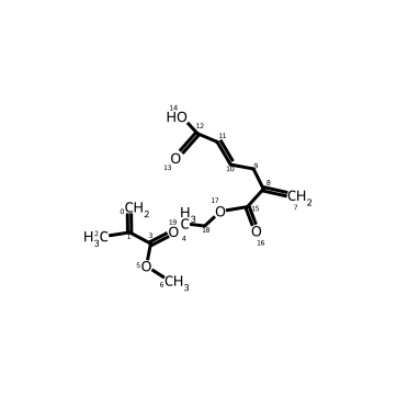 C=C(C)C(=O)OC.C=C(CC=CC(=O)O)C(=O)OCC